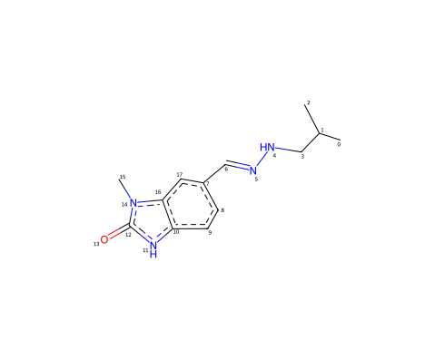 CC(C)CN/N=C/c1ccc2[nH]c(=O)n(C)c2c1